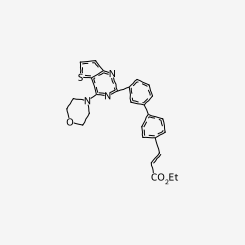 CCOC(=O)C=Cc1ccc(-c2cccc(-c3nc(N4CCOCC4)c4sccc4n3)c2)cc1